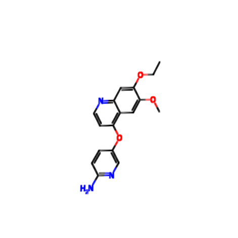 CCOc1cc2nccc(Oc3ccc(N)nc3)c2cc1OC